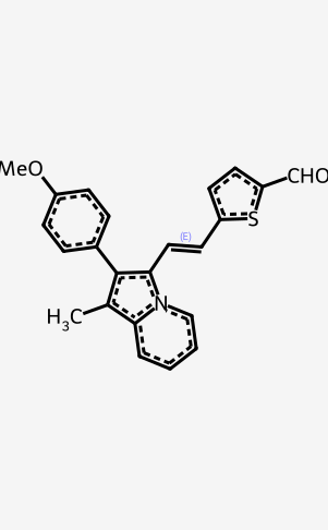 COc1ccc(-c2c(C)c3ccccn3c2/C=C/c2ccc(C=O)s2)cc1